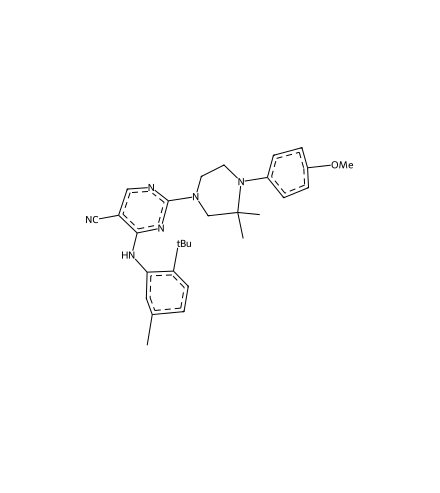 COc1ccc(N2CCN(c3ncc(C#N)c(Nc4cc(C)ccc4C(C)(C)C)n3)CC2(C)C)cc1